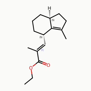 CCOC(=O)/C(C)=C/[C@@H]1CCC[C@H]2CCC(C)=C21